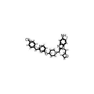 Nc1ccc2c(c1)nc(CN1CCC(Oc3ccnc(Cc4ccc(Cl)cc4)n3)CC1)n2CC1CCO1